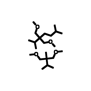 COCC(C)(COC)C(C)C.COCC(CCC(C)C)(COC)C(C)C